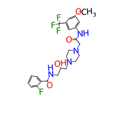 COc1cc(NC(=O)CN2CCN(CC(O)CNC(=O)c3ccccc3F)CC2)cc(C(F)(F)F)c1